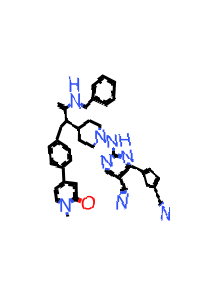 C=C(NCc1ccccc1)C(Cc1ccc(-c2ccn(C)c(=O)c2)cc1)C1CCN(Nc2ncc(C#N)c(C3=CC=C(C#N)C3)n2)CC1